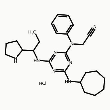 CCC(Nc1nc(NC2CCCCCC2)nc(N(CC#N)c2ccccc2)n1)C1CCCN1.Cl